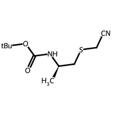 C[C@H](CSCC#N)NC(=O)OC(C)(C)C